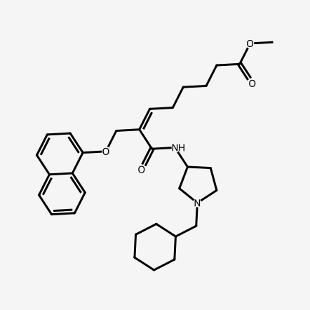 COC(=O)CCCCC=C(COc1cccc2ccccc12)C(=O)NC1CCN(CC2CCCCC2)C1